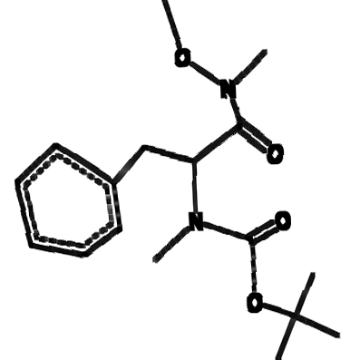 CON(C)C(=O)C(Cc1ccccc1)N(C)C(=O)OC(C)(C)C